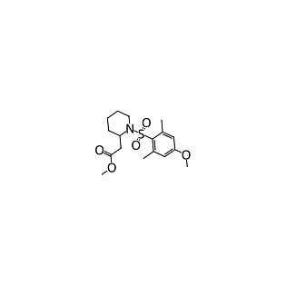 COC(=O)CC1CCCCN1S(=O)(=O)c1c(C)cc(OC)cc1C